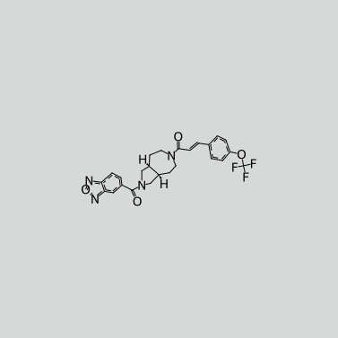 O=C(C=Cc1ccc(OC(F)(F)F)cc1)N1CC[C@@H]2CN(C(=O)c3ccc4nonc4c3)C[C@@H]2CC1